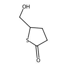 O=C1CCC(CO)S1